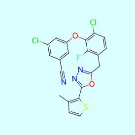 Cc1ccsc1-c1nnc(Cc2ccc(Cl)c(Oc3cc(Cl)cc(C#N)c3)c2F)o1